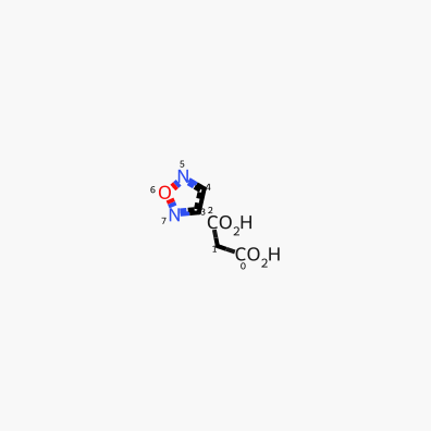 O=C(O)CC(=O)O.c1cnon1